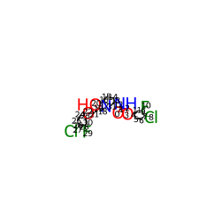 O=C(COc1ccc(Cl)c(F)c1)N[C@@H]1CCCN(CC(O)COc2ccc(Cl)c(F)c2)C1